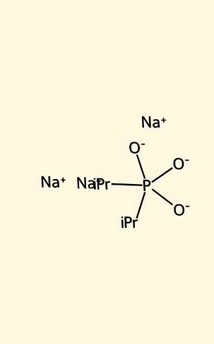 CC(C)P([O-])([O-])([O-])C(C)C.[Na+].[Na+].[Na+]